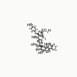 CCCO[C@H](C[C@H](C(C)C)N(CCC)C(=O)[C@@H](NC(=O)[C@H]1CCCCN1C)[C@@H](C)CC)c1nc(C(O)N[C@@H](Cc2ccc(O)cc2)C[C@H](C)C(=O)O)cs1